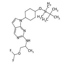 CC(COC(F)F)Nc1ncc2ccn(C3CCC(O[Si](C)(C)C(C)(C)C)CC3)c2n1